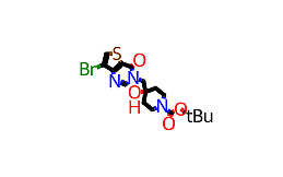 CC(C)(C)OC(=O)N1CCC(O)(Cn2cnc3c(Br)csc3c2=O)CC1